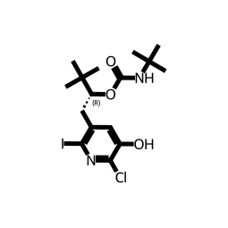 CC(C)(C)NC(=O)O[C@H](Cc1cc(O)c(Cl)nc1I)C(C)(C)C